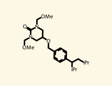 COCN1CC(OCc2ccc(C(CC(C)C)C(C)C)cc2)CN(COC)C1=O